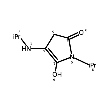 CC(C)NC1=C(O)N(C(C)C)C(=O)C1